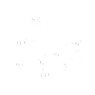 Cc1cc2ncnn2c(N(C)C)c1C